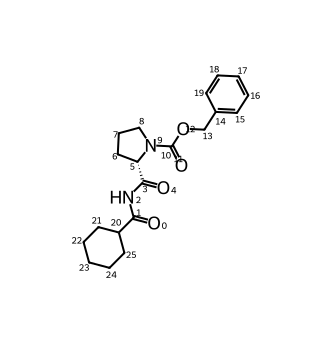 O=C(NC(=O)[C@@H]1CCCN1C(=O)OCc1ccccc1)C1CCCCC1